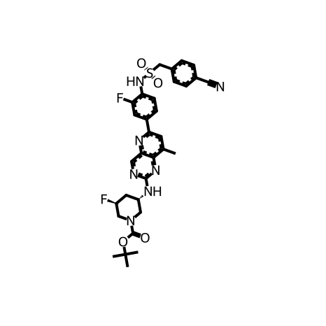 Cc1cc(-c2ccc(NS(=O)(=O)Cc3ccc(C#N)cc3)c(F)c2)nc2cnc(N[C@H]3C[C@H](F)CN(C(=O)OC(C)(C)C)C3)nc12